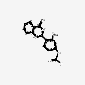 CCC(=O)Oc1ccc(-c2nc(=O)c3ccccc3s2)c(OC)c1